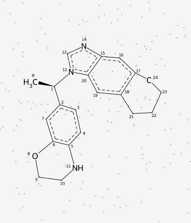 C[C@H](c1ccc2c(c1)OCCN2)n1cnc2cc3c(cc21)CCCC3